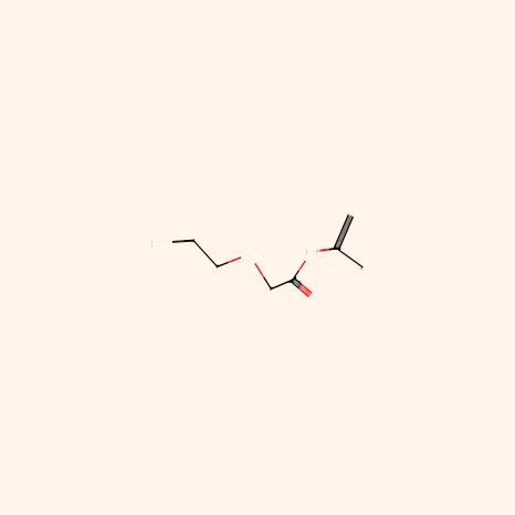 C=C(C)OC(=O)COCCC(C)C